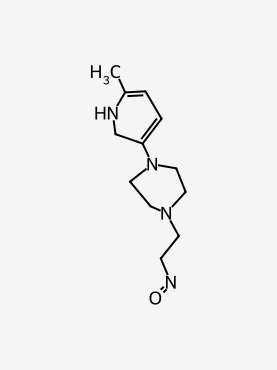 CC1=CC=C(N2CCN(CCN=O)CC2)CN1